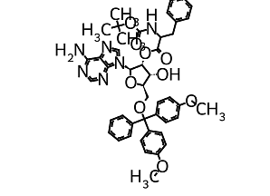 COc1ccc(C(OC[C@H]2O[C@@H](n3cnc4c(N)ncnc43)[C@H](OC(=O)C(Cc3ccccc3)NC(=O)OC(C)(C)C)[C@@H]2O)(c2ccccc2)c2ccc(OC)cc2)cc1